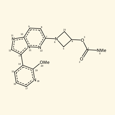 CNC(=O)OC1CN(c2ccc3ncc(-c4cccnc4OC)n3n2)C1